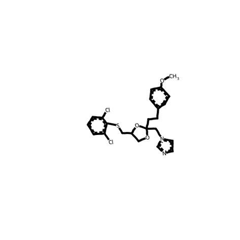 COc1ccc(CCC2(Cn3ccnc3)OCC(CSc3c(Cl)cccc3Cl)O2)cc1